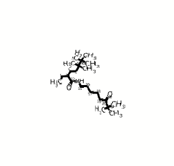 CCC(CCC(C)(C)C(C)(C)C)C(=O)NCCCCCC(=O)C(C)(C)C